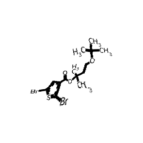 CC(C)(C)OCCC(C)(C)OC(=O)c1cc(Br)sc1Br